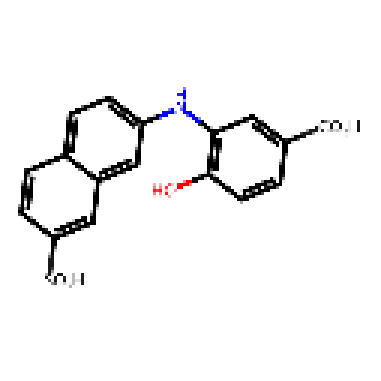 O=C(O)c1ccc(O)c(Nc2ccc3ccc(S(=O)(=O)O)cc3c2)c1